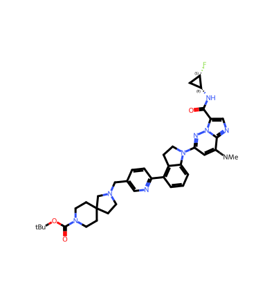 CNc1cc(N2CCc3c(-c4ccc(CN5CCC6(CCN(C(=O)OC(C)(C)C)CC6)C5)cn4)cccc32)nn2c(C(=O)N[C@@H]3C[C@@H]3F)cnc12